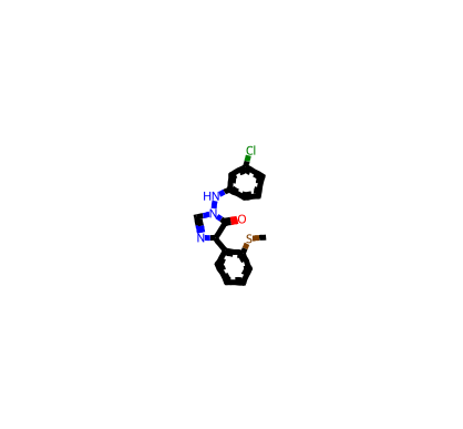 CSc1ccccc1C1N=CN(Nc2cccc(Cl)c2)C1=O